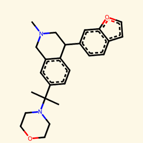 CN1Cc2cc(C(C)(C)N3CCOCC3)ccc2C(c2ccc3ccoc3c2)C1